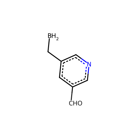 BCc1cncc(C=O)c1